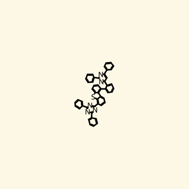 c1ccc(-c2cc(-c3ccccc3-c3cccc4sc5c(-c6nc(-c7ccccc7)nc(-c7ccccc7)n6)cccc5c34)nc(-c3ccccc3)n2)cc1